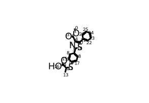 COC(=O)c1nc(-c2ccc(SC(C)C(=O)O)cc2)sc1-c1ccccc1